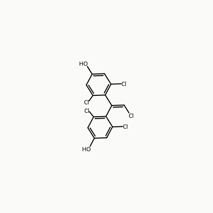 Oc1cc(Cl)c(C(=CCl)c2c(Cl)cc(O)cc2Cl)c(Cl)c1